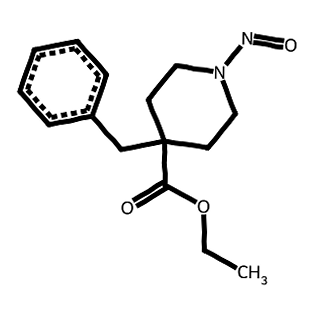 CCOC(=O)C1(Cc2ccccc2)CCN(N=O)CC1